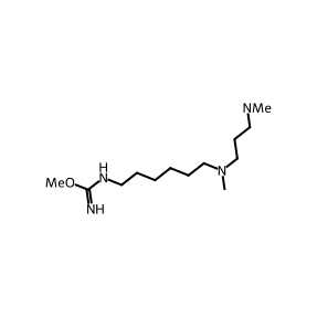 CNCCCN(C)CCCCCCNC(=N)OC